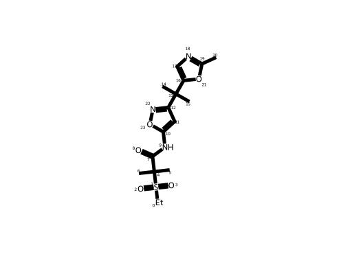 CCS(=O)(=O)C(C)(C)C(=O)Nc1cc(C(C)(C)c2cnc(C)o2)no1